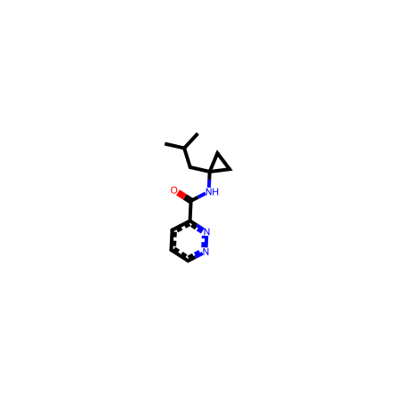 CC(C)CC1(NC(=O)c2cccnn2)CC1